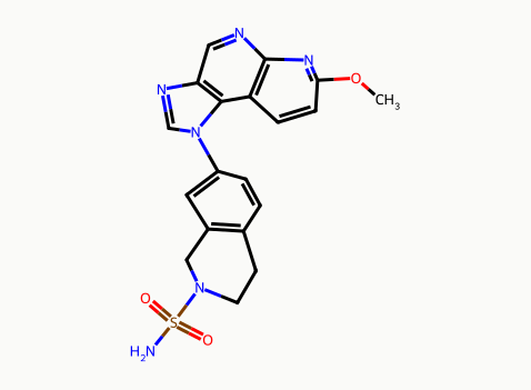 COc1ccc2c(ncc3ncn(-c4ccc5c(c4)CN(S(N)(=O)=O)CC5)c32)n1